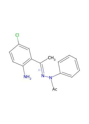 CC(=O)N(/N=C(\C)c1cc(Cl)ccc1N)c1ccccc1